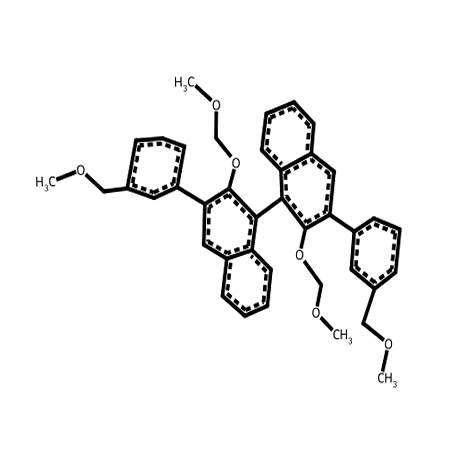 COCOc1c(-c2cccc(COC)c2)cc2ccccc2c1-c1c(OCOC)c(-c2cccc(COC)c2)cc2ccccc12